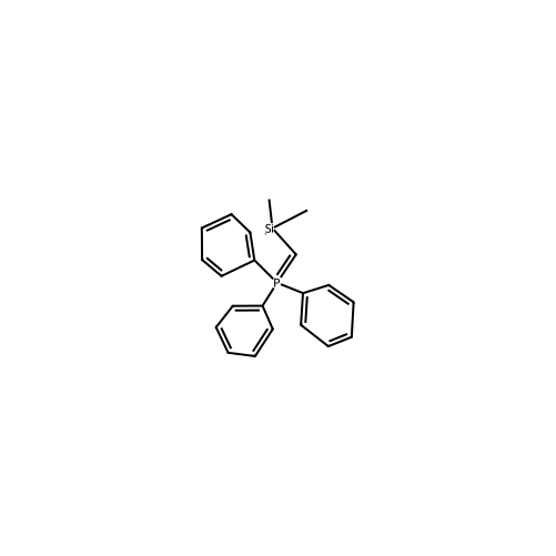 C[Si](C)(C)C=P(c1ccccc1)(c1ccccc1)c1ccccc1